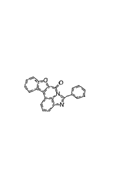 O=c1c2oc3ccccc3c2c2cccc3nc(-c4ccccc4)n1c32